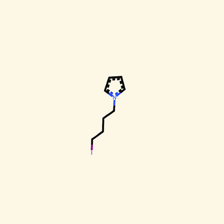 ICCCCn1cccc1